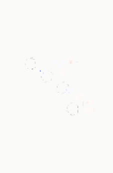 Cc1cc(C)c(-[n+]2ccc(-c3cc[n+](Cc4ccccc4P(=O)(O)O)cc3)cc2)c(C)c1.NS(=O)(=O)C(F)(F)F